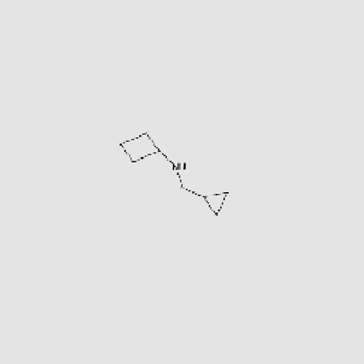 [CH](NC1CCC1)C1CC1